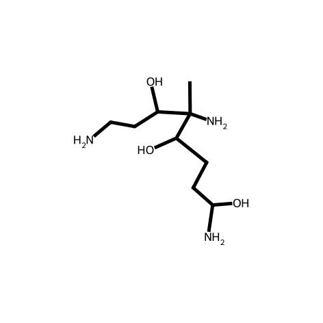 CC(N)(C(O)CCN)C(O)CCC(N)O